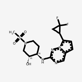 CS(=O)(=O)N1CC[C@@H](Nc2ncc3ccc(C4CC4(F)F)n3n2)[C@H](O)C1